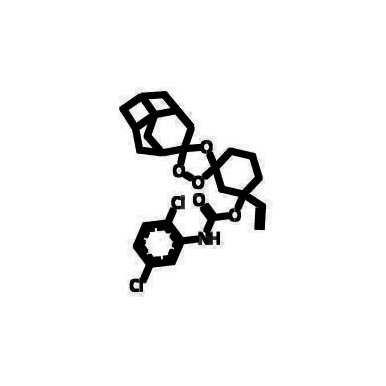 C=CC1(OC(=O)Nc2cc(Cl)ccc2Cl)CCCC2(C1)OOC1(O2)C2CC3CC4CC1CC34C2